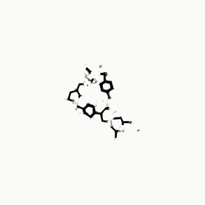 C=C=CC1CCN(CC(C(=O)NCc2ccc(C(F)(F)F)cc2)c2ccc(C(=O)N3CCC(CNS(=O)(=O)C=C)C3)cc2)CC(C)N1